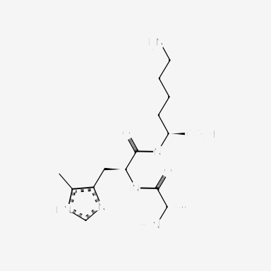 Cc1[nH]cnc1C[C@H](NC(=O)[C@H](C)N)C(=O)N[C@@H](CCCCN)C(=O)O